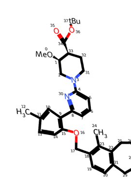 CO[C@@H]1CN(c2cccc(-c3cc(C)ccc3OCc3ccc4c(c3C)CCNCC4)n2)CC[C@@H]1C(=O)OC(C)(C)C